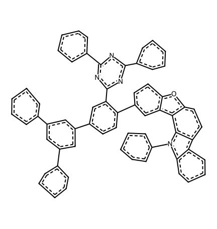 c1ccc(-c2cc(-c3ccccc3)cc(-c3ccc(-c4ccc5oc6ccc7c8ccccc8n(-c8ccccc8)c7c6c5c4)c(-c4nc(-c5ccccc5)nc(-c5ccccc5)n4)c3)c2)cc1